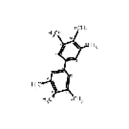 Cc1cc(-c2cc(C)c(C)c(C)c2)cc(C)c1C